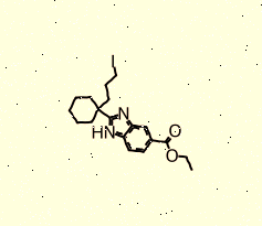 CCOC(=O)c1ccc2[nH]c(C3(CCCI)CCCCC3)nc2c1